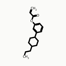 C=CC(=O)Oc1cc[c]c(C2CCC(CCC)CC2)c1